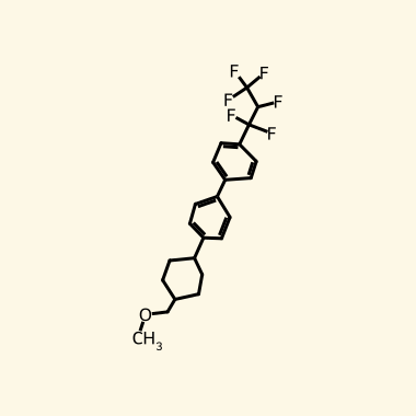 COCC1CCC(c2ccc(-c3ccc(C(F)(F)C(F)C(F)(F)F)cc3)cc2)CC1